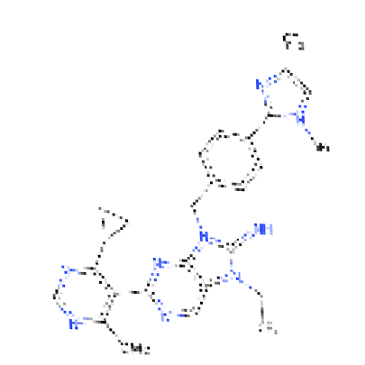 COc1ncnc(C2CC2)c1-c1ncc2c(n1)n(Cc1ccc(-c3nc(C(F)(F)F)cn3C(C)C)cc1)c(=N)n2CC(F)(F)F